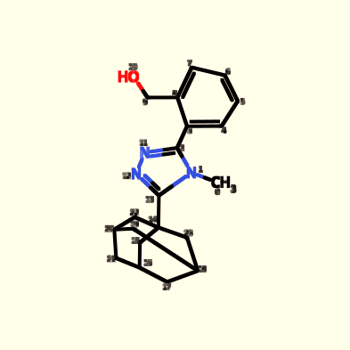 Cn1c(-c2ccccc2CO)nnc1C12CC3CC(CC(C3)C1)C2